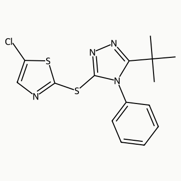 CC(C)(C)c1nnc(Sc2ncc(Cl)s2)n1-c1ccccc1